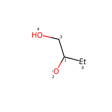 CCC([O])CO